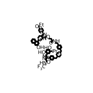 CCC(=O)N1CCN(c2nc(OCCC(=O)NCCc3ccc(CN4CCC(Cc5ccc(-n6c(C(=O)NCC(F)(F)F)nnc6-c6cc(C(C)C)c(O)cc6O)cc5)CC4)cc3)nc3c2CCN(c2cc(O)cc4ccccc24)C3)CC1